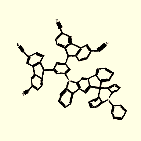 N#Cc1ccc2c(c1)-c1cc(C#N)ccc1C2c1cc(C2c3ccc(C#N)cc3-c3cc(C#N)ccc32)cc(-n2c3ccccc3c3cc4c(cc32)-c2ccccc2C42c3ccccc3N(c3ccccc3)c3ccccc32)c1